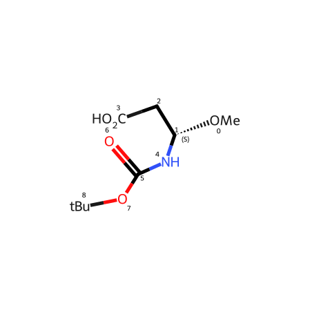 CO[C@@H](CC(=O)O)NC(=O)OC(C)(C)C